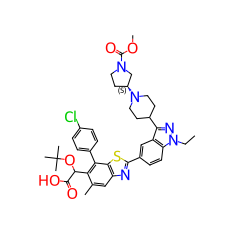 CCn1nc(C2CCN([C@H]3CCN(C(=O)OC)C3)CC2)c2cc(-c3nc4cc(C)c(C(OC(C)(C)C)C(=O)O)c(-c5ccc(Cl)cc5)c4s3)ccc21